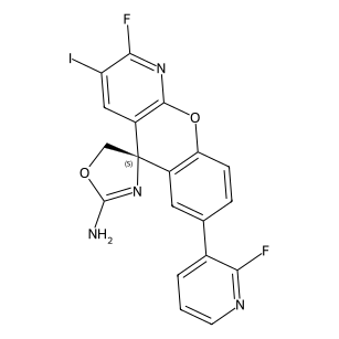 NC1=N[C@@]2(CO1)c1cc(-c3cccnc3F)ccc1Oc1nc(F)c(I)cc12